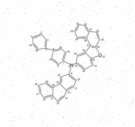 c1ccc(-c2ccc(N(c3ccc4ccc5ccccc5c4c3)c3ccc4oc5ccc6ccccc6c5c4c3)cc2)cc1